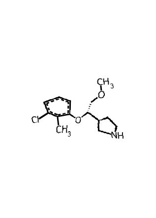 COC[C@@H](Oc1cccc(Cl)c1C)[C@H]1CCNC1